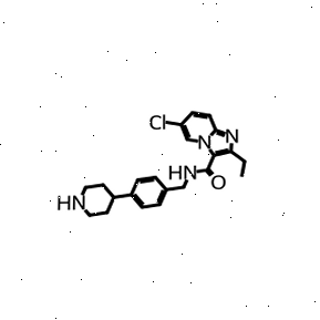 CCc1nc2ccc(Cl)cn2c1C(=O)NCc1ccc(C2CCNCC2)cc1